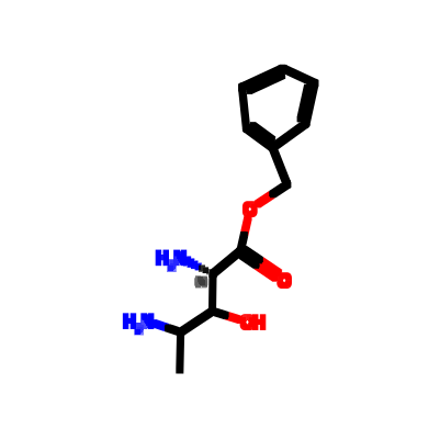 CC(N)C(O)[C@H](N)C(=O)OCc1ccccc1